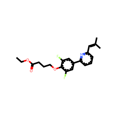 CCOC(=O)CCCOc1c(F)cc(-c2cccc(C=C(C)C)n2)cc1F